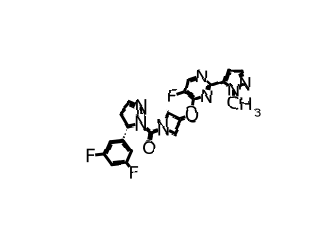 Cn1nccc1-c1ncc(F)c(OC2CN(C(=O)N3N=CC[C@H]3c3cc(F)cc(F)c3)C2)n1